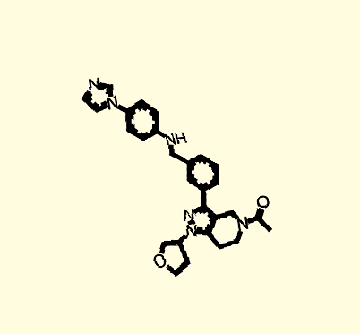 CC(=O)N1CCc2c(c(-c3cccc(CNc4ccc(-n5ccnc5)cc4)c3)nn2C2CCOC2)C1